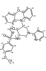 CN=S(=O)(NC1CN(c2ncccn2)CC(N2c3ccccc3Oc3ccccc32)C1O)c1ccc(OC(F)(F)F)cc1